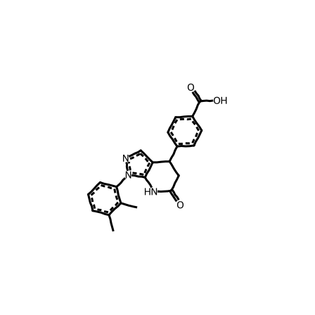 Cc1cccc(-n2ncc3c2NC(=O)CC3c2ccc(C(=O)O)cc2)c1C